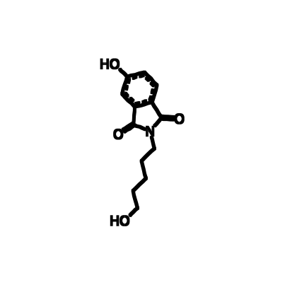 O=C1c2ccc(O)cc2C(=O)N1CCCCCO